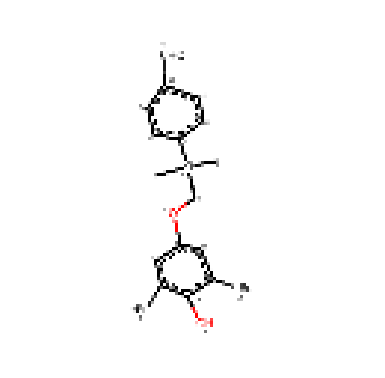 CC(C)(C)c1cc(OC[Si](C)(C)c2ccc(C=O)cc2)cc(C(C)(C)C)c1O